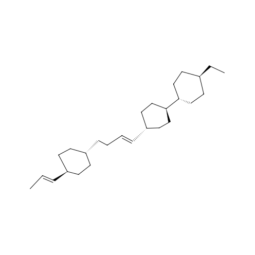 CC=C[C@H]1CC[C@H](CCC=C[C@H]2CC[C@H]([C@H]3CC[C@H](CC)CC3)CC2)CC1